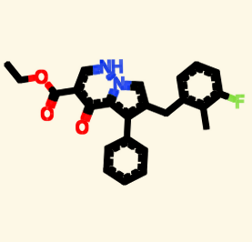 CCOC(=O)c1c[nH]n2cc(Cc3cccc(F)c3C)c(-c3ccccc3)c2c1=O